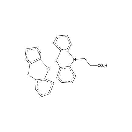 O=C(O)CCN1c2ccccc2Sc2ccccc21.c1ccc2c(c1)Oc1ccccc1S2